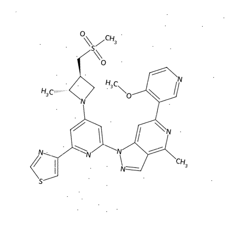 COc1ccncc1-c1cc2c(cnn2-c2cc(N3C[C@H](CS(C)(=O)=O)[C@H]3C)cc(-c3cscn3)n2)c(C)n1